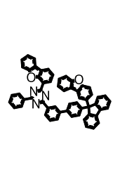 c1ccc(-c2nc(-c3cccc(-c4ccc(C5(c6ccc7oc8ccccc8c7c6)c6ccccc6-c6ccccc65)cc4)c3)nc(-c3cccc4c3oc3ccccc34)n2)cc1